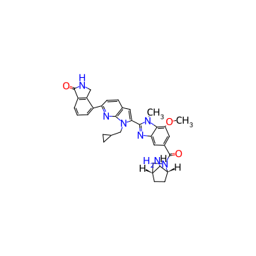 COc1cc(C(=O)N2C[C@H]3CC[C@@H]2[C@@H]3N)cc2nc(-c3cc4ccc(-c5cccc6c5CNC6=O)nc4n3CC3CC3)n(C)c12